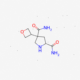 NC(=O)C1CC(C(N)=O)(C2COC2)CN1